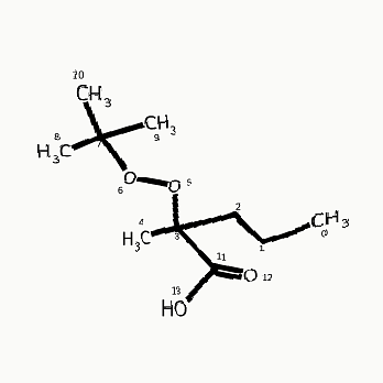 CCCC(C)(OOC(C)(C)C)C(=O)O